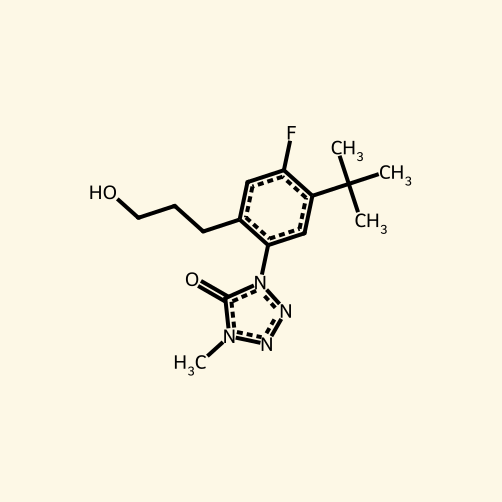 Cn1nnn(-c2cc(C(C)(C)C)c(F)cc2CCCO)c1=O